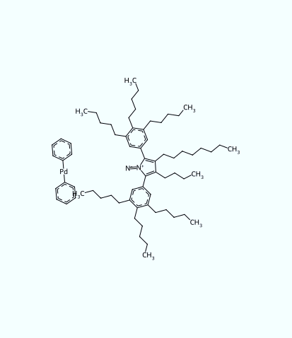 CCCCCCCCC1=C(c2cc(CCCCC)c(CCCCC)c(CCCCC)c2)[N+](=[N-])C(c2cc(CCCCC)c(CCCCC)c(CCCCC)c2)=C1CCCC.c1cc[c]([Pd][c]2ccccc2)cc1